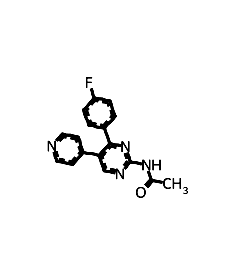 CC(=O)Nc1ncc(-c2ccncc2)c(-c2ccc(F)cc2)n1